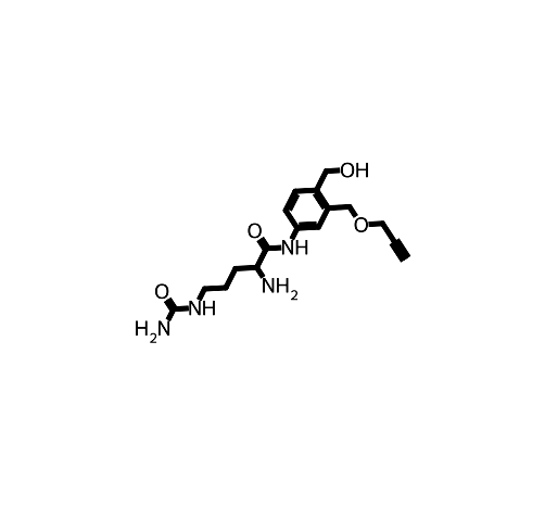 C#CCOCc1cc(NC(=O)C(N)CCCNC(N)=O)ccc1CO